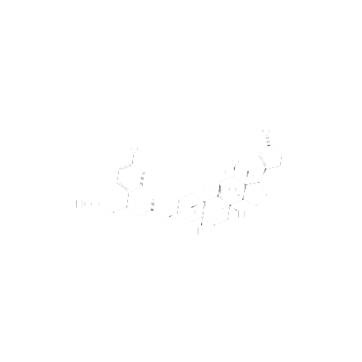 C[C@]12CC[C@H](OC(=O)CC(CC(=O)O)c3ccc(O)cc3)C[C@H]1CC[C@@H]1[C@@H]2C[C@@H](O)[C@]2(C)[C@@H](C3=CC(=O)OC3)CC[C@]12O